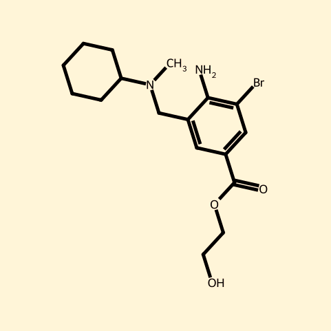 CN(Cc1cc(C(=O)OCCO)cc(Br)c1N)C1CCCCC1